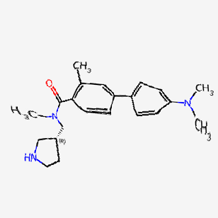 Cc1cc(-c2ccc(N(C)C)cc2)ccc1C(=O)N(C)C[C@@H]1CCNC1